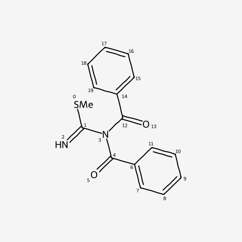 CSC(=N)N(C(=O)c1ccccc1)C(=O)c1ccccc1